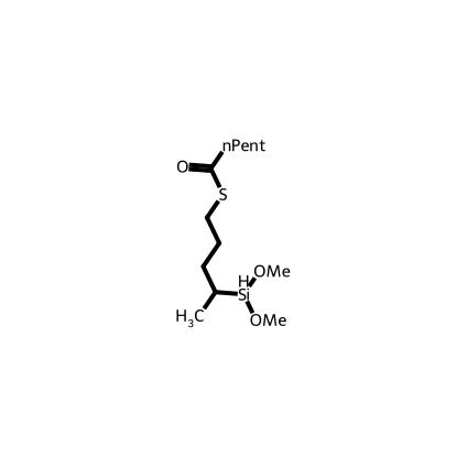 CCCCCC(=O)SCCCC(C)[SiH](OC)OC